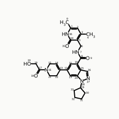 Cc1cc(C)c(CNC(=O)c2cc(C3=CCN(C(=O)CO)CC3)cc3c2cnn3C2CCCC2)c(=O)[nH]1